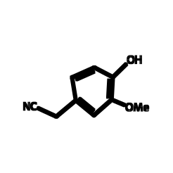 COc1cc(CC#N)ccc1O